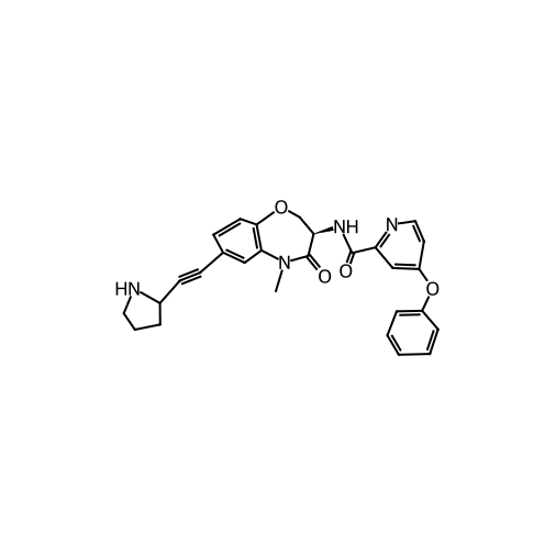 CN1C(=O)[C@H](NC(=O)c2cc(Oc3ccccc3)ccn2)COc2ccc(C#CC3CCCN3)cc21